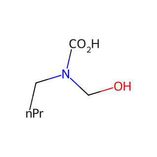 CCCCN(CO)C(=O)O